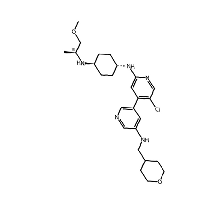 COC[C@H](C)N[C@H]1CC[C@H](Nc2cc(-c3cncc(NCC4CCOCC4)c3)c(Cl)cn2)CC1